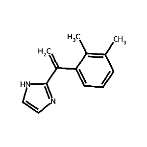 C=C(c1ncc[nH]1)c1cccc(C)c1C